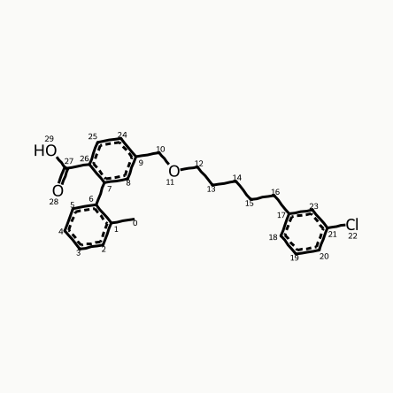 Cc1ccccc1-c1cc(COCCCCCc2cccc(Cl)c2)ccc1C(=O)O